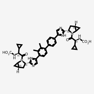 Cc1c(-c2ccc(-c3cnc([C@@H]4C[C@@H]5CC5N4C(=O)[C@@H](NC(=O)O)C4CC4)[nH]3)cc2)ccc(-c2cnc([C@@H]3C[C@@H]4CC4N3C(=O)[C@@H](NC(=O)O)C3CC3)[nH]2)c1C